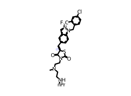 CCCNCCN(C)CCN1C(=O)S/C(=C\c2ccc3c(cnn3Cc3ccc(Cl)cc3C(F)(F)F)c2)C1=O